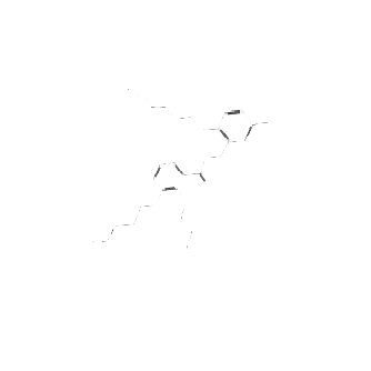 CCCCCOc1ccc(CC)cc1CCC(=O)c1cccc(OCCCCC)c1OCCCCC